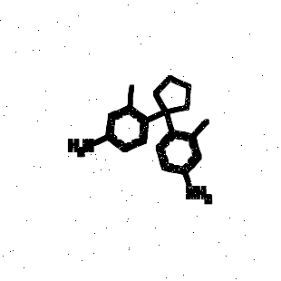 Cc1cc(N)ccc1C1(c2ccc(N)cc2C)CCCC1